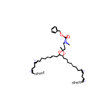 CCCCC/C=C\C/C=C\CCCCCCCC1OC(C)(CCN(C)C(=O)OCc2ccccc2)OC1CCCCCCC/C=C\C/C=C\CCCCC